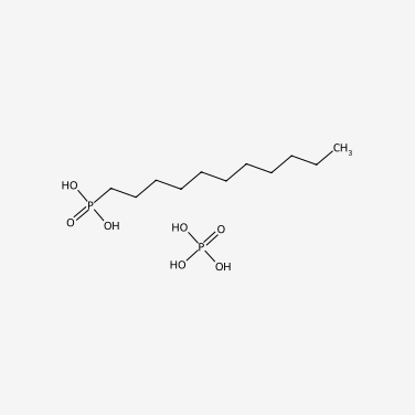 CCCCCCCCCCCP(=O)(O)O.O=P(O)(O)O